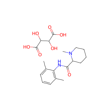 Cc1cccc(C)c1NC(=O)C1CCCCN1C.O=C(O)C(O)C(O)C(=O)O